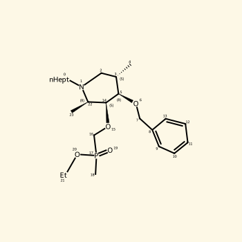 CCCCCCCN1C[C@H](C)[C@@H](OCc2ccccc2)[C@@H](OCP(C)(=O)OCC)[C@H]1C